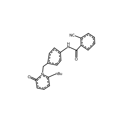 CCCCc1cccc(=O)n1Cc1ccc(NC(=O)c2ccccc2C#N)cc1